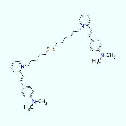 CN(C)c1ccc(/C=C/c2cccc[n+]2CCCCCCSSCCCCC[n+]2ccccc2/C=C/c2ccc(N(C)C)cc2)cc1